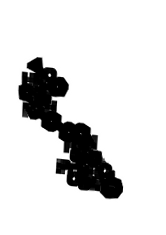 COC(=O)N[C@H](C(=O)N1C[C@@H](COCC2CCCCCC2)C[C@H]1c1nc2ccc3cc(-c4ccc(-c5cnc([C@@H]6CCCN6C(=O)[C@H](NC(=O)C6CC6)c6ccccc6)[nH]5)cc4)ccc3c2[nH]1)C(C)C